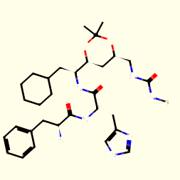 CC(C)NC(=O)NC[C@H]1C[C@@H]([C@H](CC2CCCCC2)NC(=O)[C@H](Cc2c[nH]cn2)NC(=O)[C@@H](N)Cc2ccccc2)OC(C)(C)O1